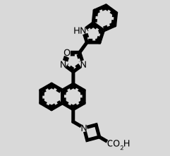 O=C(O)C1CN(Cc2ccc(-c3noc(-c4cc5ccccc5[nH]4)n3)c3ccccc23)C1